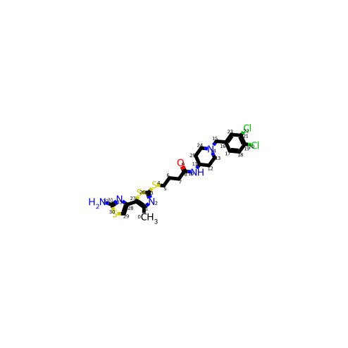 Cc1nc(SCCCC(=O)NC2CCN(Cc3ccc(Cl)c(Cl)c3)CC2)sc1-c1csc(N)n1